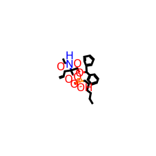 C=CCC(NC(C)=O)(C(=O)OC(c1ccccc1)c1ccccc1)C(=O)OP(=O)(O)CCCCCC